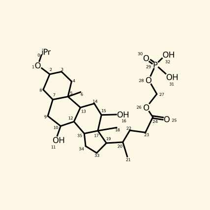 CC(C)OC1CCC2(C)C(C1)CC(O)C1C2CC(O)C2(C)C(C(C)CCC(=O)OCOP(=O)(O)O)CCC12